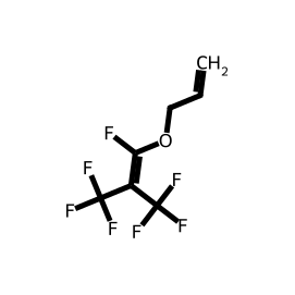 C=CCOC(F)=C(C(F)(F)F)C(F)(F)F